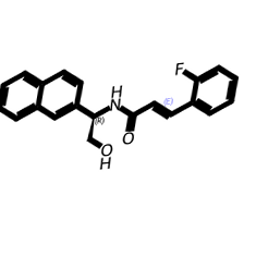 O=C(/C=C/c1ccccc1F)N[C@@H](CO)c1ccc2ccccc2c1